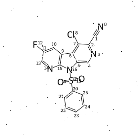 N#Cc1ncc2c(c1Cl)c1cc(F)cnc1n2S(=O)(=O)c1ccccc1